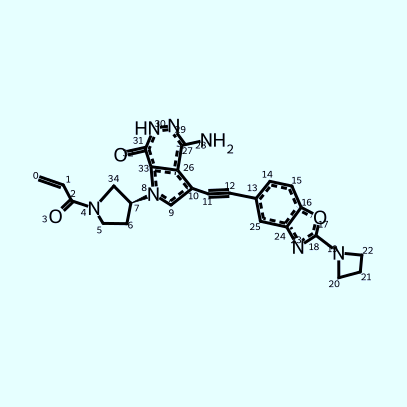 C=CC(=O)N1CC[C@H](n2cc(C#Cc3ccc4oc(N5CCC5)nc4c3)c3c(N)n[nH]c(=O)c32)C1